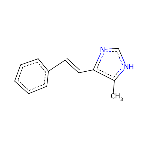 Cc1[nH]cnc1/C=C/c1ccccc1